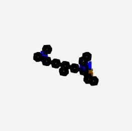 c1ccc(-n2c3ccccc3c3ccc(-c4ccc(-c5ccc(-c6ccc(-c7cc8c9ccc%10ccccc%10c9sc8c8nc9c%10ccccc%10ccc9n78)cc6)c6ccccc56)cc4)cc32)cc1